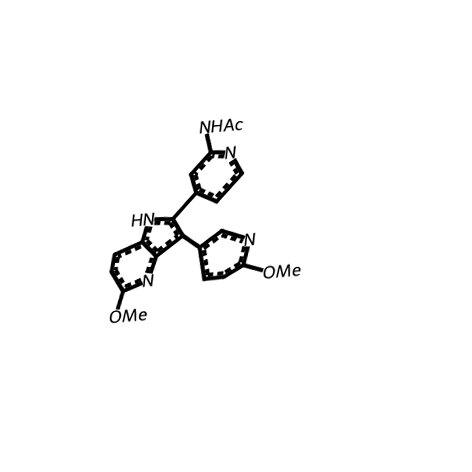 COc1ccc(-c2c(-c3ccnc(NC(C)=O)c3)[nH]c3ccc(OC)nc23)cn1